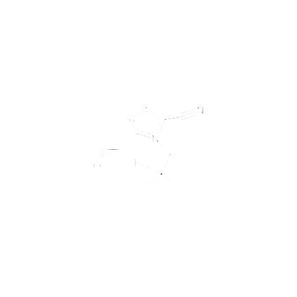 N#Cc1ccc(OC=O)n1CC(F)(F)F